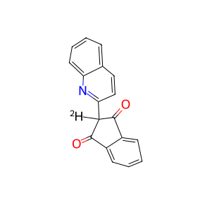 [2H]C1(c2ccc3ccccc3n2)C(=O)c2ccccc2C1=O